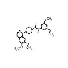 COc1cc(NC(=S)N2CCN(c3ncnc4cc(OC)c(OC)cc34)CC2)cc(OC)c1